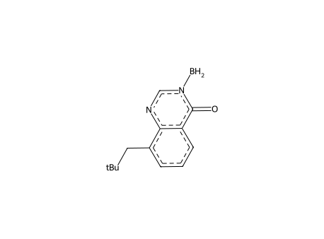 Bn1cnc2c(CC(C)(C)C)cccc2c1=O